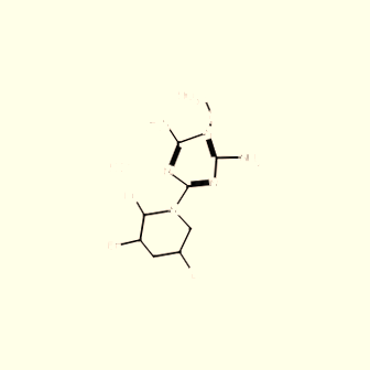 CCC1CC(CC)C(CC)N(c2nc(N)[n+](OS(=O)(=O)O)c(N)n2)C1.[OH-]